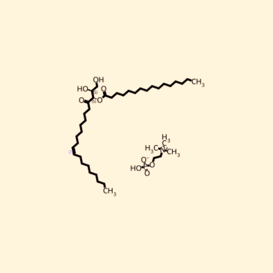 CCCCCCCC/C=C\CCCCCCCC(=O)[C@@H](OC(=O)CCCCCCCCCCCCCCC)[C@@H](O)CO.C[N+](C)(C)CCOP(=O)([O-])O